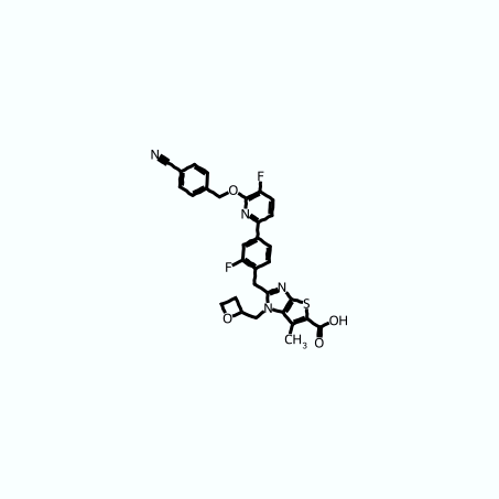 Cc1c(C(=O)O)sc2nc(Cc3ccc(-c4ccc(F)c(OCc5ccc(C#N)cc5)n4)cc3F)n(CC3CCO3)c12